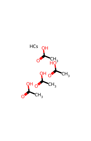 CC(=O)O.CC(=O)O.CC(=O)O.CC(=O)O.[CsH]